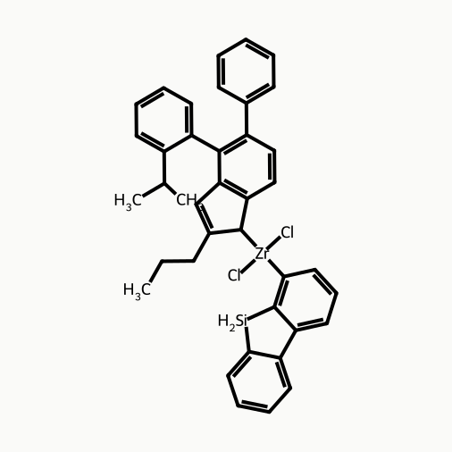 CCCC1=Cc2c(ccc(-c3ccccc3)c2-c2ccccc2C(C)C)[CH]1[Zr]([Cl])([Cl])[c]1cccc2c1[SiH2]c1ccccc1-2